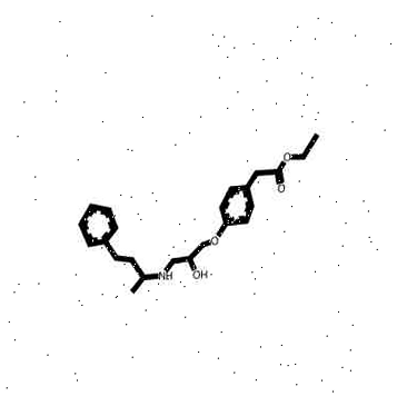 CCOC(=O)Cc1ccc(OCC(O)CNC(C)CCc2ccccc2)cc1